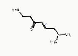 CNCCC(=O)/C=C/CN(C)C